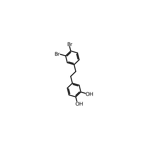 Oc1ccc(CCc2ccc(Br)c(Br)c2)cc1O